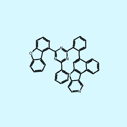 c1ccc(-c2nc(-c3ccccc3-c3cc4oc5ccncc5c4c4ccccc34)nc(-c3cccc4oc5ccccc5c34)n2)cc1